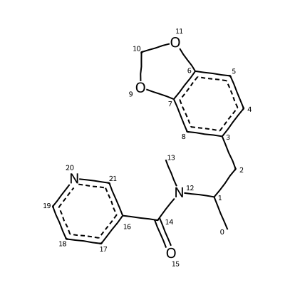 CC(Cc1ccc2c(c1)OCO2)N(C)C(=O)c1cccnc1